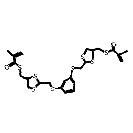 C=C(C)C(=O)SCC1CSC(CSc2cccc(SCC3SCC(CSC(=O)C(=C)C)S3)c2)S1